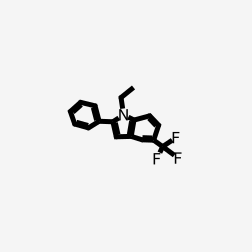 CCn1c(-c2ccccc2)cc2cc(C(F)(F)F)ccc21